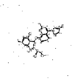 COCC(=O)N[C@@H](C)c1cc(C)cc(Cl)c1COc1cccc2c(-n3cc(F)cn3)cc(C)nc12